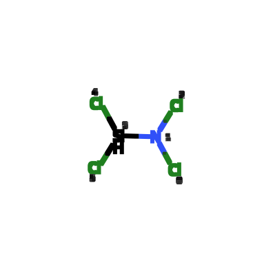 ClN(Cl)[SiH](Cl)Cl